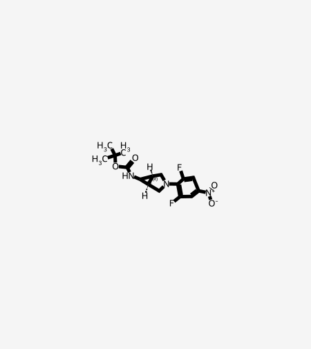 CC(C)(C)OC(=O)NC1[C@H]2CN(c3c(F)cc([N+](=O)[O-])cc3F)C[C@@H]12